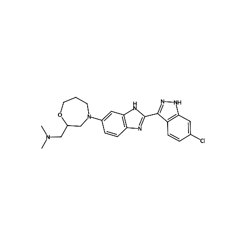 CN(C)CC1CN(c2ccc3nc(-c4n[nH]c5cc(Cl)ccc45)[nH]c3c2)CCCO1